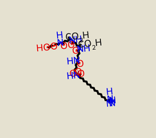 O=C(CCCS(=O)(=O)NC(=O)CCCCCCCCCCCCCCCc1nnn[nH]1)NCCCC(=O)NC(CCC(=O)NC(CCC(=O)NCCOCCO)C(=O)O)C(=O)O